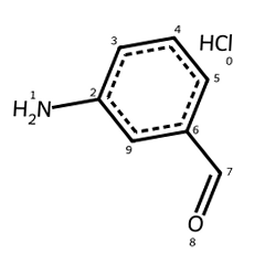 Cl.Nc1cccc(C=O)c1